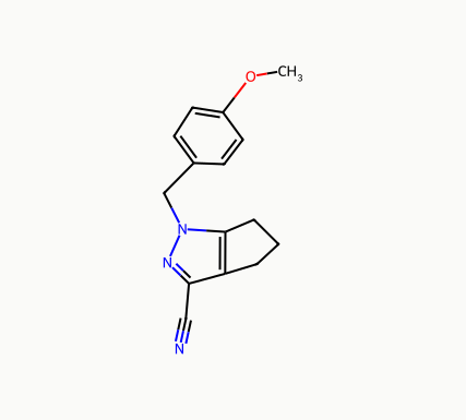 COc1ccc(Cn2nc(C#N)c3c2CCC3)cc1